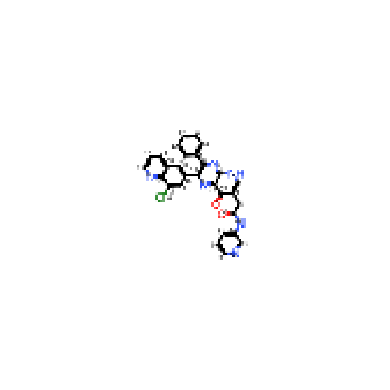 O=C(Cc1c[nH]c2nc(-c3ccccc3)c(-c3cc(Cl)c4ncccc4c3)nc2c1=O)Nc1cccnc1